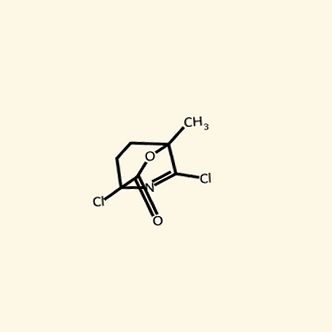 CC12CCC(Cl)(N=C1Cl)C(=O)O2